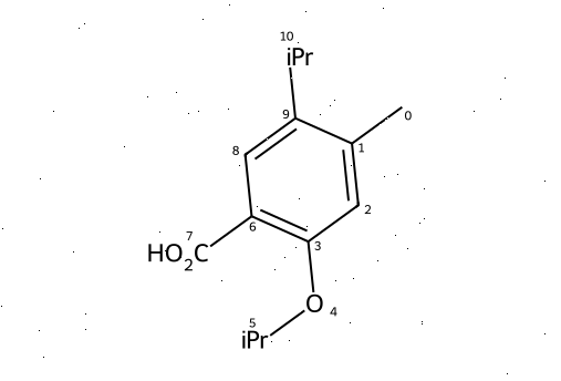 Cc1cc(OC(C)C)c(C(=O)O)cc1C(C)C